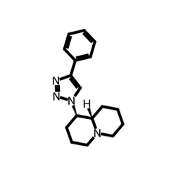 c1ccc(-c2cn([C@@H]3CCCN4CCCC[C@@H]34)nn2)cc1